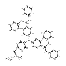 [C-]#[N+]/C(=C\c1ccc(N(c2ccc(N(Cc3ccccc3)Cc3ccccc3)cc2)c2ccc(N(Cc3ccccc3)Cc3ccccc3)cc2)cc1)C(=O)O